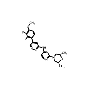 COc1ccc(-c2cnnc(Nc3ccnc(N4C[C@@H](C)O[C@@H](C)C4)n3)c2)c(F)c1F